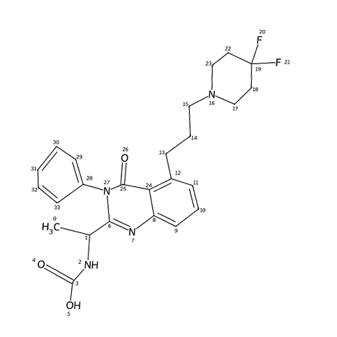 CC(NC(=O)O)c1nc2cccc(CCCN3CCC(F)(F)CC3)c2c(=O)n1-c1ccccc1